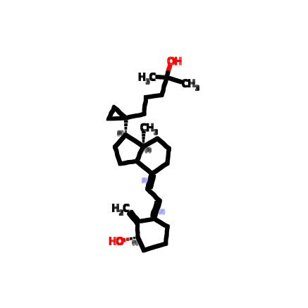 C=C1/C(=C\C=C2/CCC[C@@]3(C)C2CC[C@@H]3C2(CCCC(C)(C)O)CC2)CCC[C@@H]1O